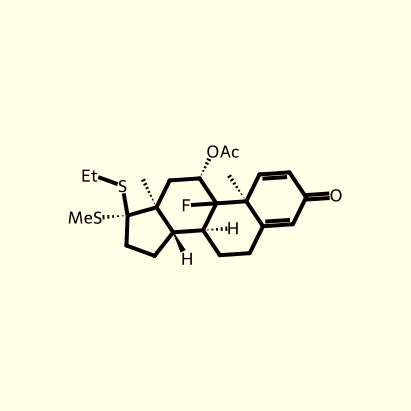 CCS[C@]1(SC)CC[C@H]2[C@@H]3CCC4=CC(=O)C=C[C@]4(C)C3(F)[C@@H](OC(C)=O)C[C@@]21C